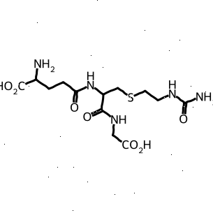 NC(=O)NCCSCC(NC(=O)CCC(N)C(=O)O)C(=O)NCC(=O)O